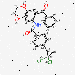 O=C(Nc1cc2c(cc1C(=O)c1ccccc1)OCCO2)c1ccc(C2CC2(Cl)Cl)cc1